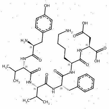 CC(C)[C@H](NC(=O)[C@@H](NC(=O)[C@@H](N)Cc1ccc(O)cc1)C(C)C)C(=O)N[C@@H](Cc1ccccc1)C(=O)N[C@@H](CCCCN)C(=O)N[C@@H](CC(=O)O)C(=O)O